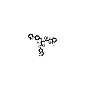 NC(Cc1ccccc1)C(O)CN(Cc1ccc(-c2ccccn2)cc1)NC(=O)OC1CC2CCOC2C1